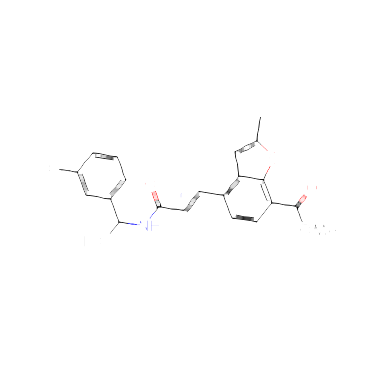 COC(=O)c1ccc(/C=C/C(=O)NC(c2cccc(C(F)(F)F)c2)C(F)(F)F)c2cc(C)oc12